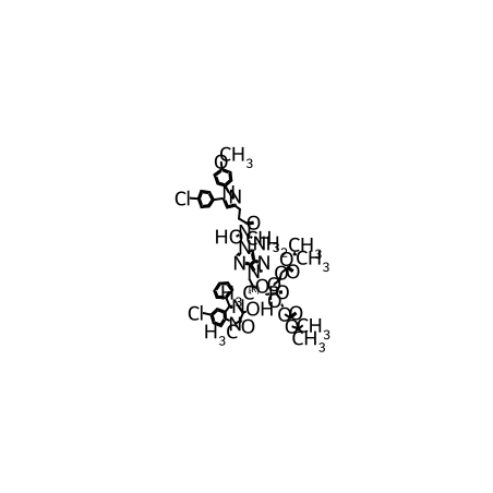 CC(C)OC(=O)OCOP(=O)(CO[C@H](C)Cn1cnc2c(N)ncnc21)OCOC(=O)OC(C)C.CN1C(=O)C(O)N=C(c2ccccc2)c2cc(Cl)ccc21.COc1ccc(-n2nc(CCC(=O)N(C)O)cc2-c2ccc(Cl)cc2)cc1